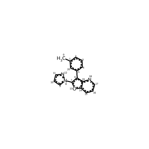 Cc1cccc(-c2c(-n3cccn3)oc3cccnc23)c1